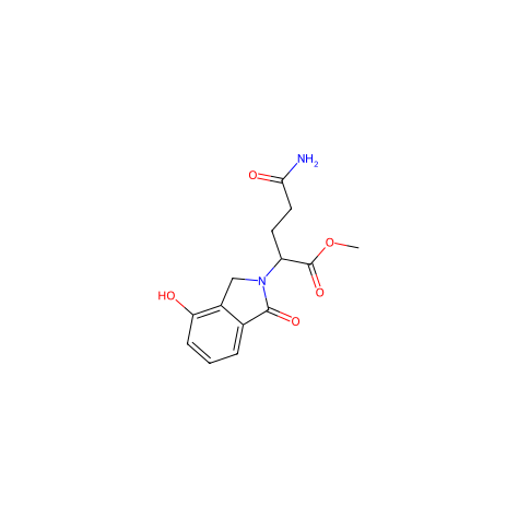 COC(=O)C(CCC(N)=O)N1Cc2c(O)cccc2C1=O